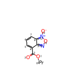 CC(C)OC(=O)c1cccc2c1no[n+]2[O-]